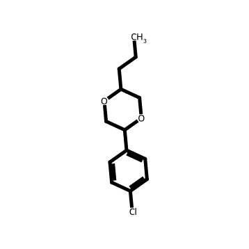 CCCC1COC(c2ccc(Cl)cc2)CO1